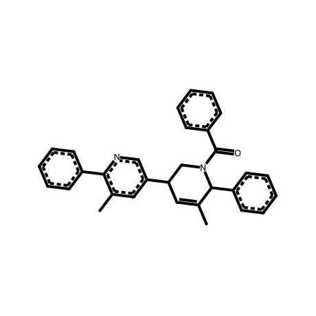 CC1=CC(c2cnc(-c3ccccc3)c(C)c2)CN(C(=O)c2ccccc2)C1c1ccccc1